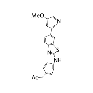 COc1cncc(-c2ccc3nc(Nc4ccc(CC(C)=O)cc4)sc3c2)c1